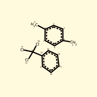 Cc1ccc(C)cc1.ClC(Cl)(Cl)c1ccccc1